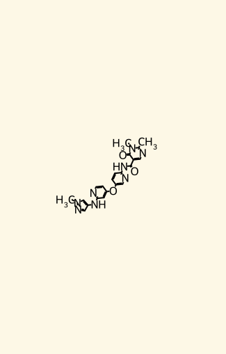 Cc1ncc(C(=O)Nc2ccc(Oc3ccnc(Nc4cnn(C)c4)c3)cn2)c(=O)n1C